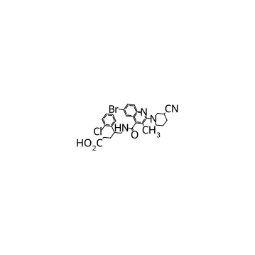 Cc1c(N2CCCC(C#N)C2)nc2ccc(Br)cc2c1C(=O)NCC(CCC(=O)O)c1ccccc1Cl